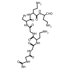 CCCC(=O)NCC(=O)NCC(=O)NC(CCN)C(=O)NCC(=O)NC(CC(C)C)C(=O)NC(CCN)C(=O)NC(C=O)CCN